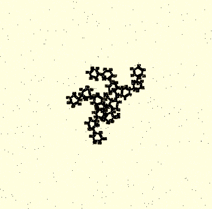 N#Cc1c(-n2c3ccc(-c4cccc(-c5ccccc5)n4)cc3c3cc(-c4cccc(-c5ccccc5)n4)ccc32)ccc(-c2c(F)cccc2F)c1-n1c2ccc(-c3cccc(-c4ccccc4)n3)cc2c2cc(-c3cccc(-c4ccccc4)n3)ccc21